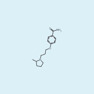 CC1CCCN1CCCOc1ccc(C(N)=S)cc1